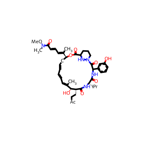 CON(C)C(=O)/C=C/C=C(\C)[C@@H]1C/C=C/C=C/C=C(\C)[C@@H](O)[C@@H](CCC(C)=O)C(=O)N[C@@H](C(C)C)C(=O)NC(c2cccc(O)c2)C(=O)N2CCCC(N2)C(=O)O1